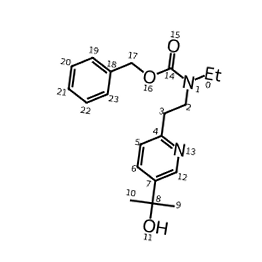 CCN(CCc1ccc(C(C)(C)O)cn1)C(=O)OCc1ccccc1